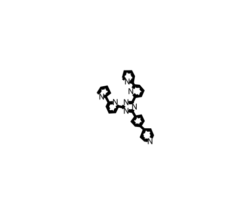 c1ccc(-c2cccc(-c3nc(-c4ccc(-c5ccncc5)cc4)nc(-c4cccc(-c5ccccn5)n4)n3)n2)nc1